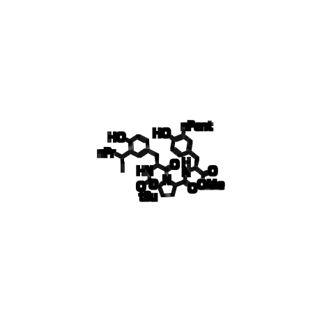 CCCCCc1cc(C[C@H](NC(=O)C2CCCN2C(=O)[C@H](Cc2ccc(O)c(C(I)CCC)c2)NC(=O)OC(C)(C)C)C(=O)OC)ccc1O